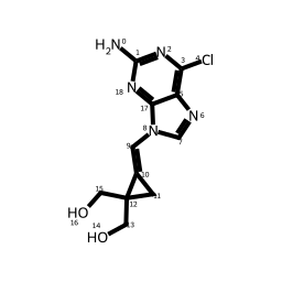 Nc1nc(Cl)c2ncn(/C=C3\CC3(CO)CO)c2n1